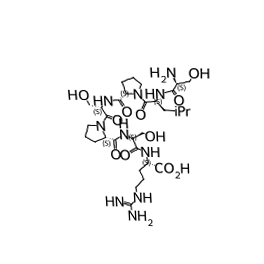 CC(C)C[C@H](NC(=O)[C@@H](N)CO)C(=O)N1CCC[C@H]1C(=O)N[C@@H](CO)C(=O)N1CCC[C@H]1C(=O)N[C@@H](CO)C(=O)N[C@@H](CCCNC(=N)N)C(=O)O